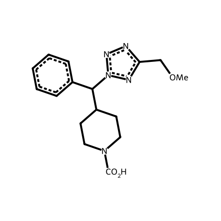 COCc1nnn(C(c2ccccc2)C2CCN(C(=O)O)CC2)n1